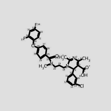 CC1=NC(C)=C(C(=O)O)C(c2cccc(Cl)c2)N1CCCN(C)C(=O)c1ccc(Oc2ccc(F)cc2F)cc1